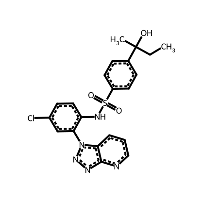 CCC(C)(O)c1ccc(S(=O)(=O)Nc2ccc(Cl)cc2-n2nnc3ncccc32)cc1